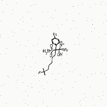 CCCC(N)(O)C(CCCCCC(C)(C)F)(c1ccc(CC)cc1)S(N)(=O)=O